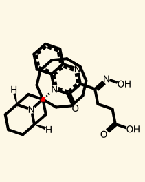 O=C(O)CCC(=NO)c1nc2ccccc2n([C@H]2C[C@H]3CCC[C@@H](C2)N3C2CCCCCCCCC2)c1=O